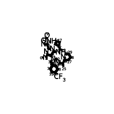 C=Nc1nc(-c2noc(=O)[nH]2)nc(N[C@H](C)C2CCC2)c1N(CNC(C)c1ccccn1)Cc1ccc(C(F)(F)F)cc1